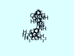 CN1C(C)(C)c2ccc(Nc3ncc4c(=N)n(-c5c(Cl)cccc5Cl)c(=O)[nH]c4n3)cc2C1(C)C